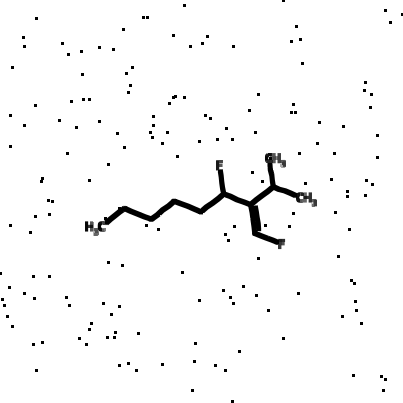 CCCCCC(F)C(=CF)C(C)C